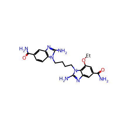 CCOc1cc(C(N)=O)cc2nc(N)n(CCCCn3c(N)nc4cc(C(N)=O)ccc43)c12